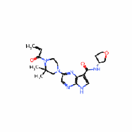 C=CC(=O)N1CCN(c2cnc3[nH]cc(C(=O)N[C@@H]4CCOC4)c3n2)CC1(C)C